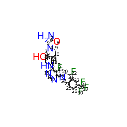 C[C@]1(O)CN(CC(N)=O)CC[C@H]1CNc1ncnc(N(CCF)Cc2ccc(C(F)(F)F)cc2)c1F